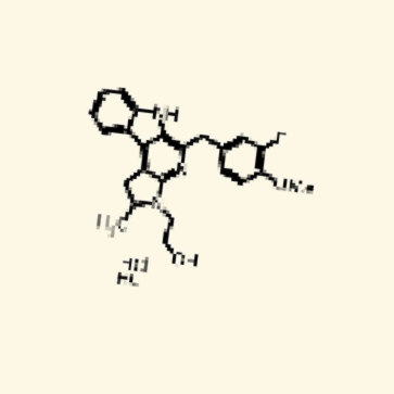 COc1ccc(Cc2nc3c(c4c2[nH]c2ccccc24)CC(C)N3CCO)cc1F.Cl.Cl